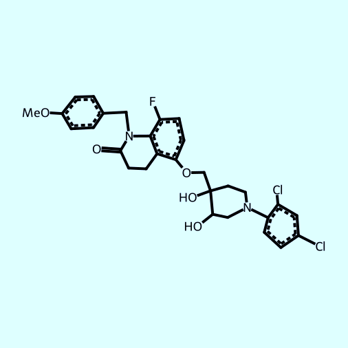 COc1ccc(CN2C(=O)CCc3c(OCC4(O)CCN(c5ccc(Cl)cc5Cl)CC4O)ccc(F)c32)cc1